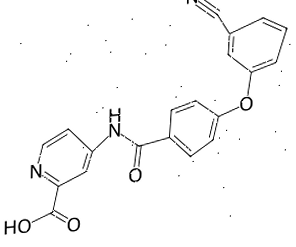 N#Cc1cccc(Oc2ccc(C(=O)Nc3ccnc(C(=O)O)c3)cc2)c1